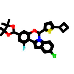 CC1(C)OB(c2cc(F)c3c(c2)OC(c2ccc(C4CCC4)s2)n2c-3cc3cc(Cl)ccc32)OC1(C)C